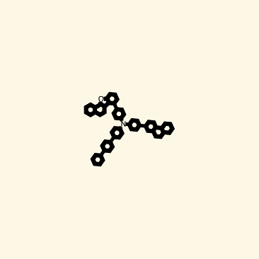 c1ccc(-c2ccc(-c3ccc(N(c4ccc(-c5ccc6c(ccc7ccccc76)c5)cc4)c4ccc(-c5cccc6oc7c8ccccc8ccc7c56)cc4)cc3)cc2)cc1